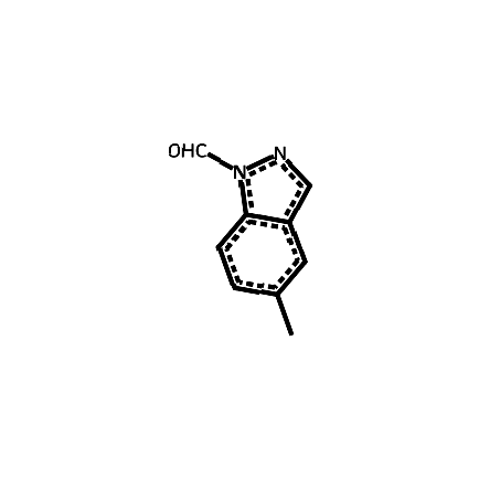 Cc1ccc2c(cnn2C=O)c1